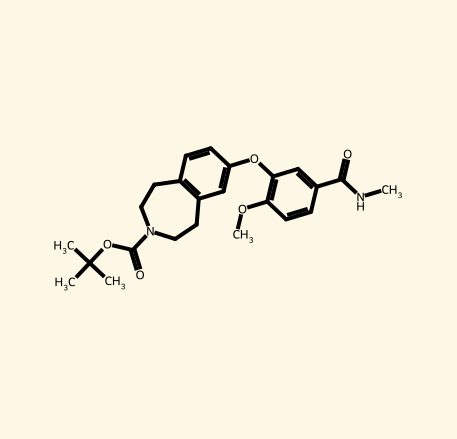 CNC(=O)c1ccc(OC)c(Oc2ccc3c(c2)CCN(C(=O)OC(C)(C)C)CC3)c1